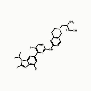 Cc1nc2c(F)cc(-c3nc(Nc4ccc5c(n4)CCN(C[C@@H](N)NO)C5)ncc3F)cc2n1C(C)C